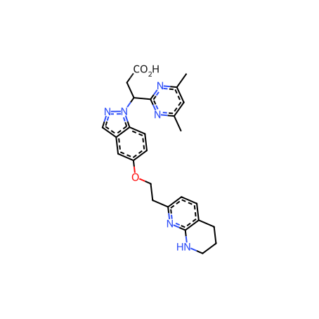 Cc1cc(C)nc(C(CC(=O)O)n2ncc3cc(OCCc4ccc5c(n4)NCCC5)ccc32)n1